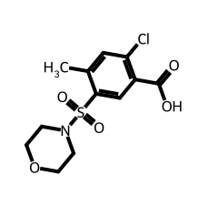 Cc1cc(Cl)c(C(=O)O)cc1S(=O)(=O)N1CCOCC1